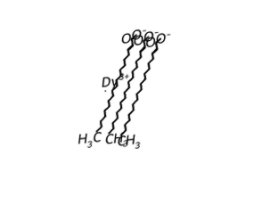 CCCCCCCCCCCCCCCCCC=CC(=O)[O-].CCCCCCCCCCCCCCCCCC=CC(=O)[O-].CCCCCCCCCCCCCCCCCC=CC(=O)[O-].[Dy+3]